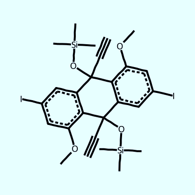 C#CC1(O[Si](C)(C)C)c2cc(I)cc(OC)c2C(C#C)(O[Si](C)(C)C)c2cc(I)cc(OC)c21